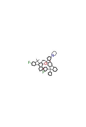 CC1(C)c2cc(F)ccc2-c2c1c1c(c3cc(F)ccc23)OC(c2ccc(N3CCCCC3)cc2)(c2ccc3c(c2)C(c2ccccc2)(c2ccccc2)c2ccccc2-3)C=C1